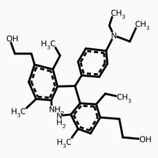 CCc1c(CCO)cc(C)c(N)c1C(c1ccc(N(CC)CC)cc1)c1c(N)c(C)cc(CCO)c1CC